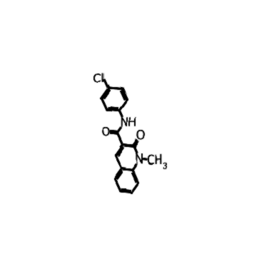 Cn1c(=O)c(C(=O)Nc2ccc(Cl)cc2)cc2ccccc21